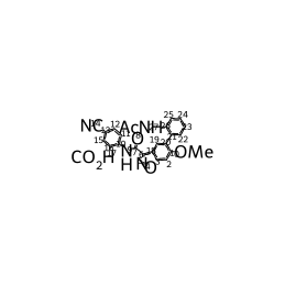 COc1cc2onc(C(=O)Nc3ccc(C#N)cc3C(=O)O)c2cc1-c1ccccc1NC(C)=O